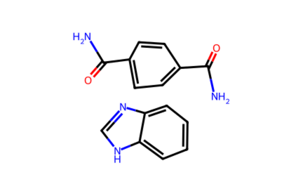 NC(=O)c1ccc(C(N)=O)cc1.c1ccc2[nH]cnc2c1